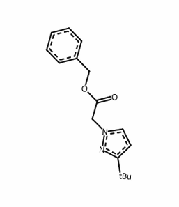 CC(C)(C)c1ccn(CC(=O)OCc2ccccc2)n1